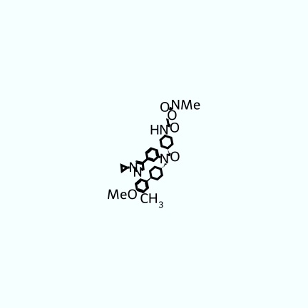 CNC(=O)OCC(=O)N[C@H]1CC[C@H](C(=O)N(C[C@H]2CC[C@H](c3ccc(OC)c(C)c3)CC2)c2cccc(-c3cnn(C4CC4)c3)c2)CC1